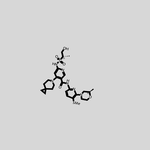 CSc1ccc(NC(=O)c2cnc(NS(=O)(=O)[C@@H](C)CO)cc2N2CCC3(CC2)CC3)nc1N1CCO[C@H](C)C1